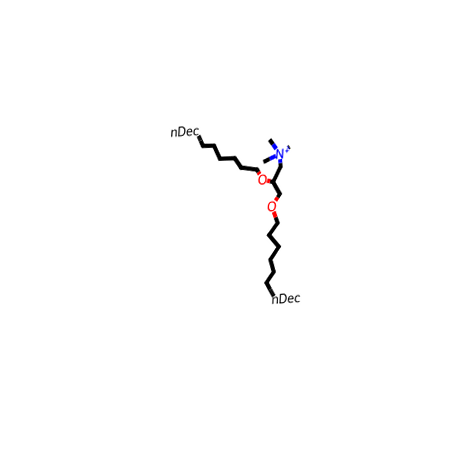 CCCCCCCCCCCCCCCCOCC(C[N+](C)(C)C)OCCCCCCCCCCCCCCCC